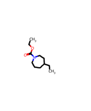 CCOC(=O)N1CCCC(CC)CC1